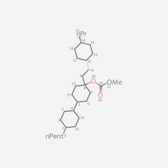 CCCCCC1CCC(C2CCC(CC[C@H]3CC[C@H](CCC)CC3)(OC(=O)OC)CC2)CC1